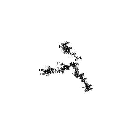 CN(CCC(=O)NCCCO[C@@H]1OC(CO)[C@@](O)(O[C@@H]2OC(CO)[C@H](O)C(O)C2O)C(O)C1O)COSC[C@H](NC(=O)CNC(=O)CNC(=O)[C@H](CSC1CC(=O)N(CCC(=O)NCCCO[C@@H]2OC(CO)[C@@](O)(O[C@@H]3OC(CO)[C@H](O)C(O)C3O)C(O)C2O)C1=O)NC(=O)CON)C(=O)NCC(=O)NCC(=O)N[C@@H](CSC1CC(=O)N(CCC(=O)NCCCOC(O)C(O)(OO)C(O)CO)C1O)C(=O)O